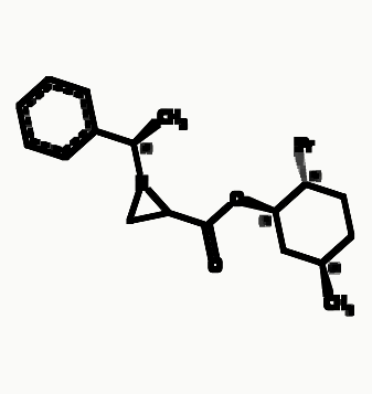 CC(C)[C@@H]1CC[C@@H](C)C[C@H]1OC(=O)C1CN1[C@H](C)c1ccccc1